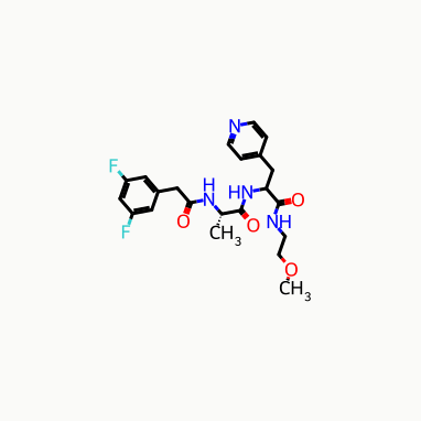 COCCNC(=O)C(Cc1ccncc1)NC(=O)[C@H](C)NC(=O)Cc1cc(F)cc(F)c1